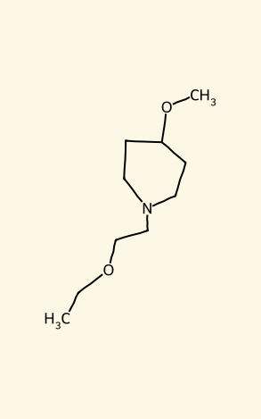 CCOCCN1CCC(OC)CC1